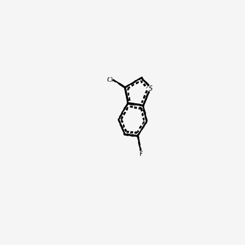 Fc1ccc2c(Cl)csc2c1